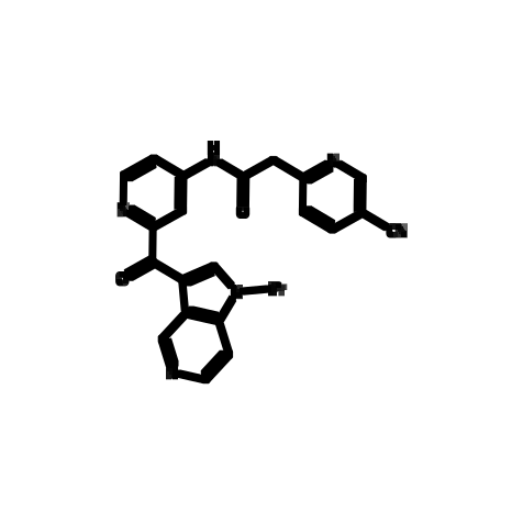 CC(C)n1cc(C(=O)c2cc(NC(=O)Cc3ccc(C#N)cn3)ccn2)c2cnccc21